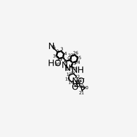 N#Cc1ccc(-c2nnc(NC3CCCN(S(=O)(=O)C4CC4)C3)c3ccccc23)c(O)c1